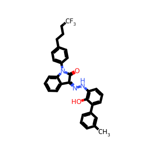 Cc1cccc(-c2cccc(N/N=C3\C(=O)N(c4ccc(CCCC(F)(F)F)cc4)c4ccccc43)c2O)c1